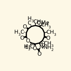 CC[C@H]1OC(=O)[C@H](C)C(=O)[C@H](C)[C@@H](C)[C@](C)(OC)C[C@@H](C)C(=O)[C@H](C)[C@H]2N(N)C(=O)O[C@]12C